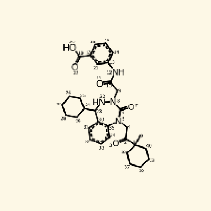 CC1(C(=O)CN2C(=O)N(CC(=O)Nc3cccc(C(=O)O)c3)NC(C3CCCCC3)c3ccccc32)CCCCC1